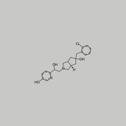 Oc1ccc(C(O)CN2CC3CC(O)(Cc4ccccc4Cl)C[C@@H]3C2)nc1